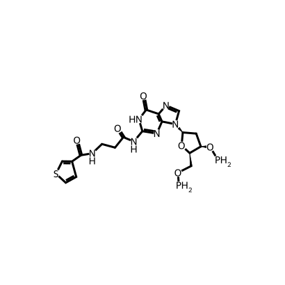 O=C(CCNC(=O)c1ccsc1)Nc1nc2c(ncn2[C@H]2C[C@@H](OP)[C@@H](COP)O2)c(=O)[nH]1